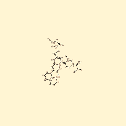 CC(F)C(=O)N1CCN(c2nc(OC[C@@H]3C[C@@H](F)CN3C)nc3cc(-c4cccc5c4CCCC5)c(F)cc23)[C@@H](C)C1